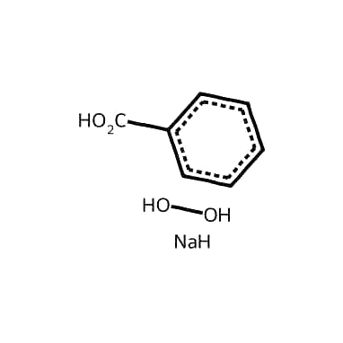 O=C(O)c1ccccc1.OO.[NaH]